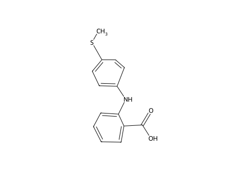 CSc1ccc(Nc2ccccc2C(=O)O)cc1